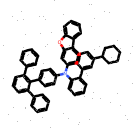 c1ccc(-c2cccc(-c3ccccc3)c2-c2ccc(N(c3ccc4c(c3)oc3ccccc34)c3ccccc3-c3cccc(C4CCCCC4)c3)cc2)cc1